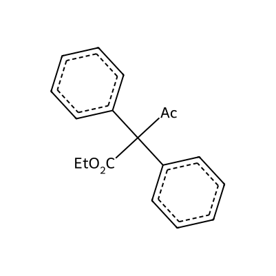 CCOC(=O)C(C(C)=O)(c1ccccc1)c1ccccc1